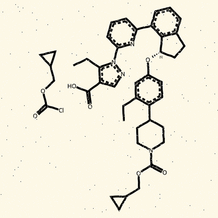 CCc1cc(O[C@H]2CCc3cccc(-c4cccc(-n5ncc(C(=O)O)c5CC)n4)c32)ccc1C1CCN(C(=O)OCC2CC2)CC1.O=C(Cl)OCC1CC1